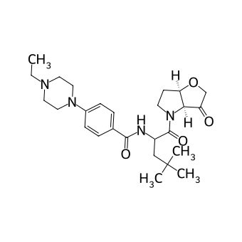 CCN1CCN(c2ccc(C(=O)NC(CC(C)(C)C)C(=O)N3CC[C@H]4OCC(=O)[C@H]43)cc2)CC1